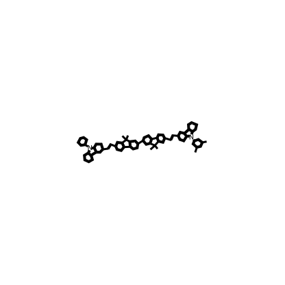 Cc1cc(C)cc(-n2c3ccccc3c3cc(/C=C/c4ccc5c(c4)C(C)(C)c4cc(-c6ccc7c(c6)C(C)(C)c6cc(/C=C/c8ccc9c(c8)c8ccccc8n9-c8ccccc8)ccc6-7)ccc4-5)ccc32)c1